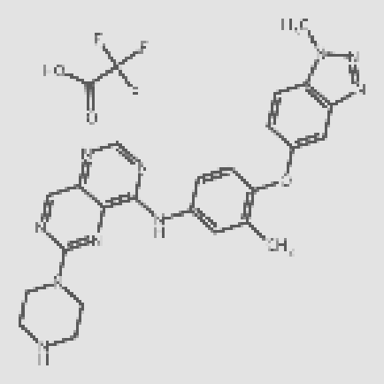 Cc1cc(Nc2ncnc3cnc(N4CCNCC4)nc23)ccc1Oc1ccc2c(c1)nnn2C.O=C(O)C(F)(F)F